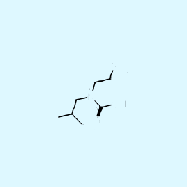 CC(C)CN(CCN)C(=O)O